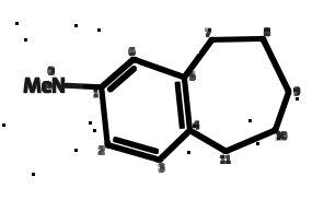 CNc1ccc2c(c1)CCCCC2